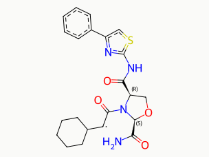 NC(=O)[C@@H]1OC[C@H](C(=O)Nc2nc(-c3ccccc3)cs2)N1C(=O)[CH]C1CCCCC1